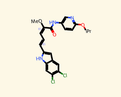 CO/C(=C/C=C/c1cc2cc(Cl)c(Cl)cc2[nH]1)C(=O)Nc1ccc(OC(C)C)nc1